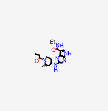 C=CC(=O)N1CC[C@H](Nc2cnc3[nH]cc(C(=O)NCC)c3n2)C[C@H]1C